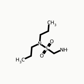 CCCN(CCC)S(=O)(=O)C[NH]